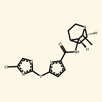 C[C@H]1[C@H](NC(=O)c2ccc(Sc3nc(Cl)cs3)s2)C2CCN1CC2